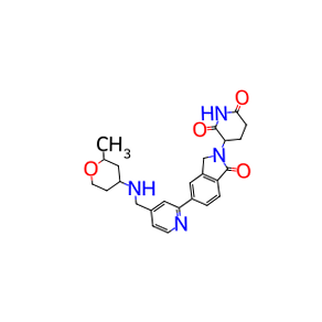 CC1CC(NCc2ccnc(-c3ccc4c(c3)CN(C3CCC(=O)NC3=O)C4=O)c2)CCO1